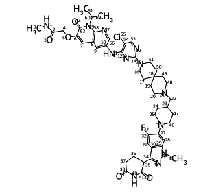 CNC(=O)COc1cc2cc(Nc3nc(N4CCC5(CCN(CC6CCN(c7cc8c(cc7F)c(C7CCC(=O)NC7=O)nn8C)CC6)CC5)CC4)ncc3Cl)cnc2n(C(C)C)c1=O